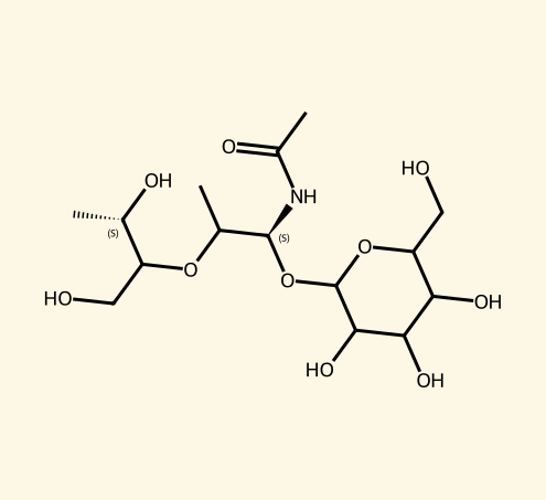 CC(=O)N[C@@H](OC1OC(CO)C(O)C(O)C1O)C(C)OC(CO)[C@H](C)O